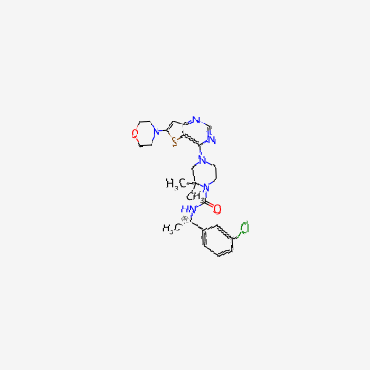 C[C@H](NC(=O)N1CCN(c2ncnc3cc(N4CCOCC4)sc23)CC1(C)C)c1cccc(Cl)c1